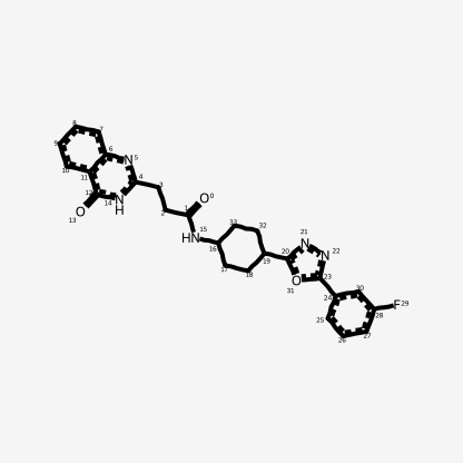 O=C(CCc1nc2ccccc2c(=O)[nH]1)NC1CCC(c2nnc(-c3cccc(F)c3)o2)CC1